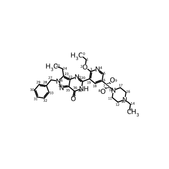 CCOc1ncc(S(=O)(=O)N2CCN(CC)CC2)cc1-c1nc2c(CC)n(Cc3ccccc3)nc2c(=O)[nH]1